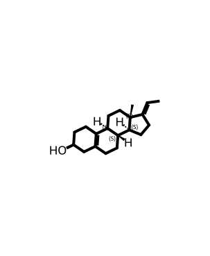 CC=C1CC[C@H]2[C@@H]3CCC4=C(CCC(O)C4)[C@H]3CC[C@]12C